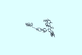 Cc1cc(C)c(CNC(=O)c2cc(-c3ccc(N4CCN(CCCC(=O)NO)CC4)nc3)cc3c2cnn3C(C)C)c(=O)[nH]1